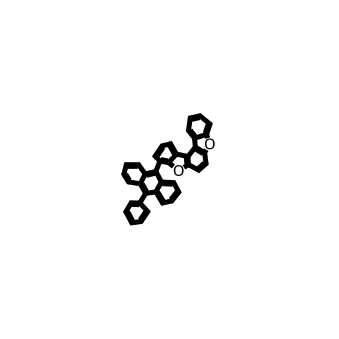 c1ccc(-c2c3ccccc3c(-c3cccc4c3oc3ccc5oc6ccccc6c5c34)c3ccccc23)cc1